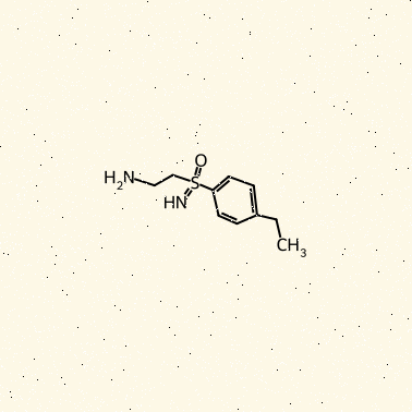 CCc1ccc(S(=N)(=O)CCN)cc1